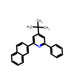 CC(C)(C)c1cc(-c2ccccc2)nc(-c2ccc3ccccc3c2)c1